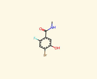 CNC(=O)c1cc(O)c(Br)cc1F